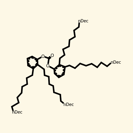 CCCCCCCCCCCCCCCCCCc1cccc(OC(=O)Oc2cccc(CCCCCCCCCCCCCCCCCC)c2CCCCCCCCCCCCCCCCCC)c1CCCCCCCCCCCCCCCCCC